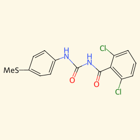 CSc1ccc(NC(=O)NC(=O)c2c(Cl)cccc2Cl)cc1